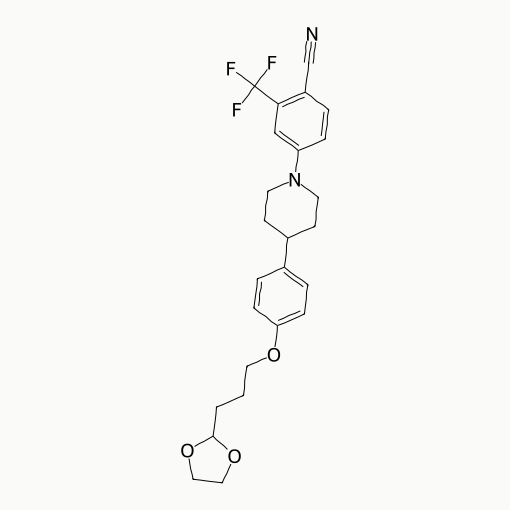 N#Cc1ccc(N2CCC(c3ccc(OCCCC4OCCO4)cc3)CC2)cc1C(F)(F)F